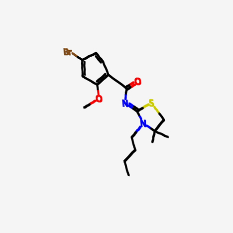 CCCCN1/C(=N/C(=O)c2ccc(Br)cc2OC)SCC1(C)C